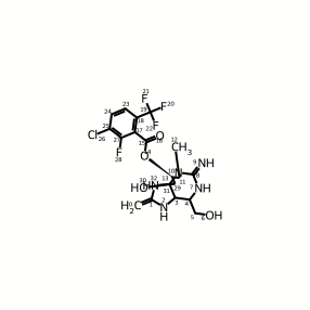 C=C1NC2C(CO)NC(=N)N3C(C)[C@H](OC(=O)c4c(C(F)(F)F)ccc(Cl)c4F)C(O)C23N1